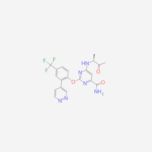 CC(=O)[C@H](C)Nc1cc(C(N)=O)nc(Oc2ccc(C(F)(F)F)cc2-c2ccnnc2)n1